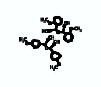 C#CC(OC(C#C)c1ccc(OC)cc1)c1ccc(OC)cc1.C#CC(OC(C#C)c1ccccc1OC)c1ccccc1OC